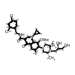 COc1c(N2C[C@@H](C)N(C[C@@H](O)CO)[C@@H](C)C2)c(F)cc2c(=O)c(C(=O)NCc3ccc(Cl)cc3Cl)cn(C3CC3)c12